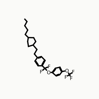 CCCCCC1CCC(CCc2ccc(C(F)(F)Oc3ccc(OC(F)(F)F)cc3)cc2)CC1